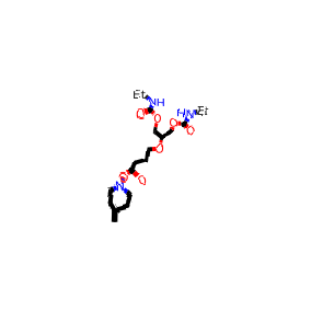 C=C1CCN(OC(=O)CCCOC(COC(=O)NCC)COC(=O)NCC)CC1